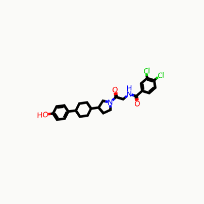 O=C(NCC(=O)N1CCC(C2CCC(c3ccc(O)cc3)CC2)C1)c1ccc(Cl)c(Cl)c1